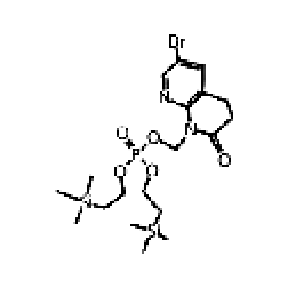 C[Si](C)(C)CCOP(=O)(OCC[Si](C)(C)C)OCN1C(=O)CCc2cc(Br)cnc21